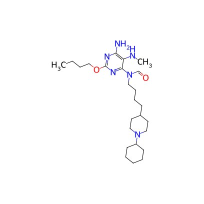 CCCCOc1nc(N)c(NC)c(N(C=O)CCCCC2CCN(C3CCCCC3)CC2)n1